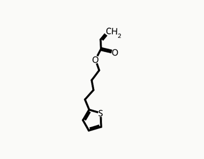 C=CC(=O)OCCCCc1cccs1